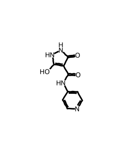 O=C(Nc1ccncc1)c1c(O)[nH][nH]c1=O